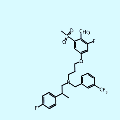 CC(CN(CCCOc1cc(F)c(C=O)c(S(C)(=O)=O)c1)Cc1cccc(C(F)(F)F)c1)c1ccc(F)cc1